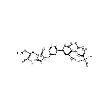 Cc1cc(-c2cccc(Cn3nnn(CC(CN)=C(F)F)c3=O)c2)cc2c1N(OC(=O)C(F)(F)F)C(=O)CC2